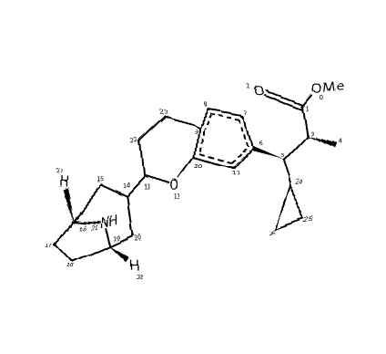 COC(=O)[C@@H](C)[C@H](c1ccc2c(c1)OC(C1C[C@H]3CC[C@@H](C1)N3)CC2)C1CC1